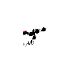 CCOC(=O)COc1ccc(Cn2c(-c3ccc(OCc4ccccc4)cc3)c(CC)c3cc(OCc4ccccc4)ccc32)cc1